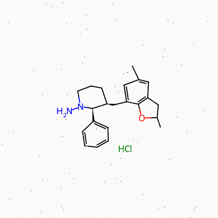 Cc1cc2c(c(C[C@@H]3CCCN(N)[C@@H]3c3ccccc3)c1)OC(C)C2.Cl